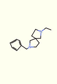 CCN1CCC2(CCN(Cc3ccccc3)C2)C1